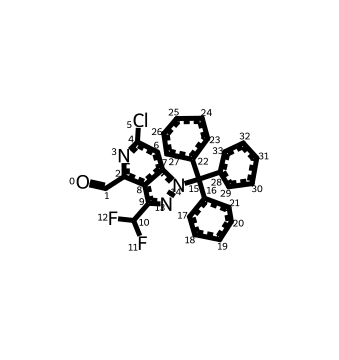 O=Cc1nc(Cl)cc2c1c(C(F)F)nn2C(c1ccccc1)(c1ccccc1)c1ccccc1